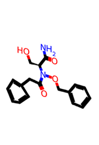 NC(=O)[C@H](CO)N(OCc1ccccc1)C(=O)Cc1ccccc1